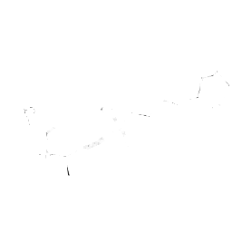 C[C@H](C#CS(=O)(=O)CCCCC1OCCO1)NC(=O)OC(C)(C)C